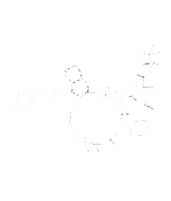 C=C[C@@H]1C[C@]1(NC(=O)[C@@H]1C[C@@H]2CN1C(=O)[C@H](C1CCCCC1)NC(=O)O[C@@H]1C[C@H]1CCCCCc1c(nc3ccccc3c1OCCCN1CCN(C)CC1)O2)C(=O)NS(=O)(=O)C1(C)CC1